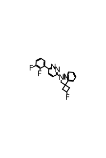 Fc1cccc(-c2ccc(NCC3(c4ccccn4)CC(F)C3)nn2)c1F